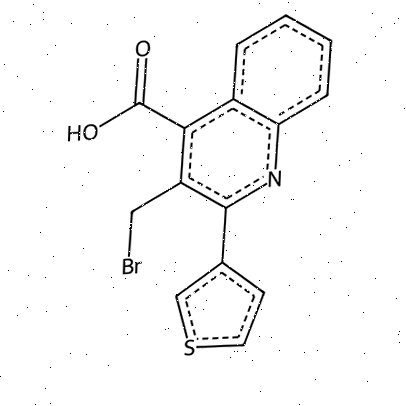 O=C(O)c1c(CBr)c(-c2ccsc2)nc2ccccc12